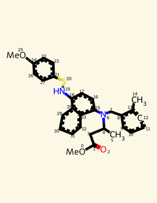 COC(=O)CC(C)N(Cc1ccccc1C)c1ccc(NSc2ccc(OC)cc2)c2ccccc12